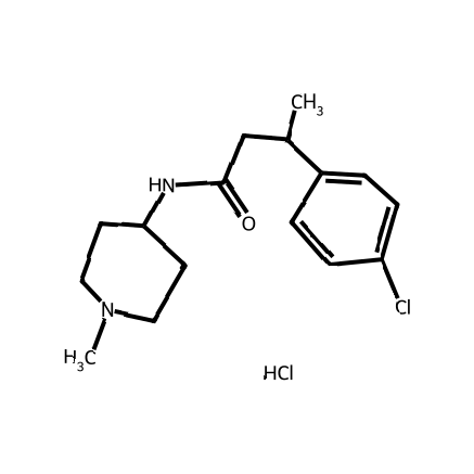 CC(CC(=O)NC1CCN(C)CC1)c1ccc(Cl)cc1.Cl